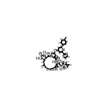 Cc1ccc(-c2cc(O[C@@H]3C[C@H]4C(=O)N[C@]5(C(=O)NS(=O)(=O)C6(C)CC6)C[C@H]5/C=C\CC[C@@H](C)C[C@@H](C)[C@H](NC(=O)O)C(=O)N4C3)cc(-c3nccs3)n2)cc1